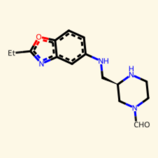 CCc1nc2cc(NC[C@@H]3CN(C=O)CCN3)ccc2o1